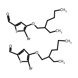 CCCCC(CC)COc1cc(C=O)sc1Br.CCCCC(CC)COc1cc(C=O)sc1Br